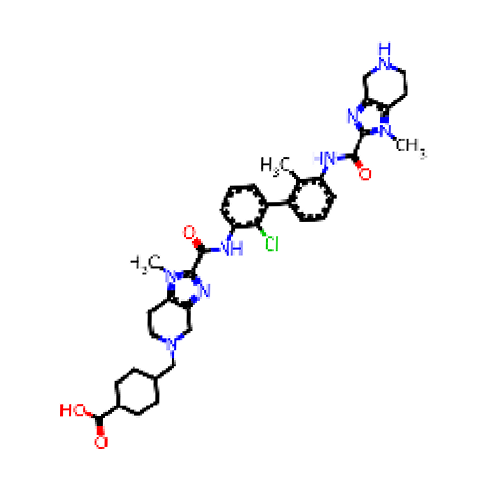 Cc1c(NC(=O)c2nc3c(n2C)CCNC3)cccc1-c1cccc(NC(=O)c2nc3c(n2C)CCN(CC2CCC(C(=O)O)CC2)C3)c1Cl